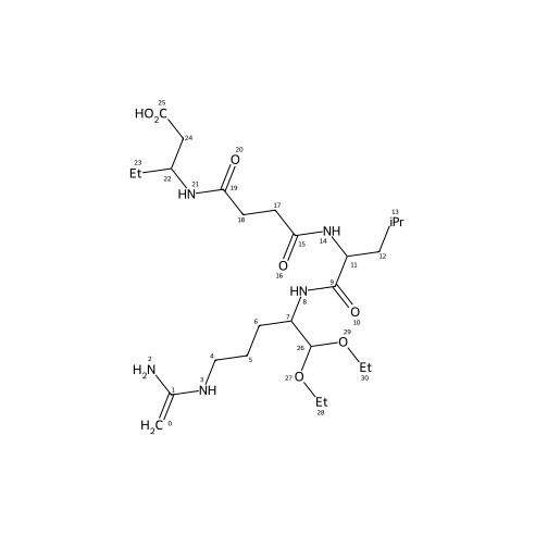 C=C(N)NCCCC(NC(=O)C(CC(C)C)NC(=O)CCC(=O)NC(CC)CC(=O)O)C(OCC)OCC